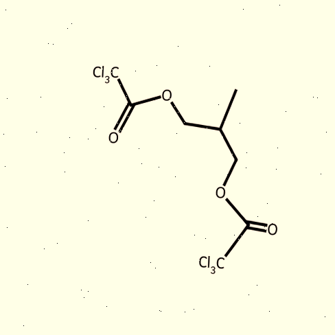 CC(COC(=O)C(Cl)(Cl)Cl)COC(=O)C(Cl)(Cl)Cl